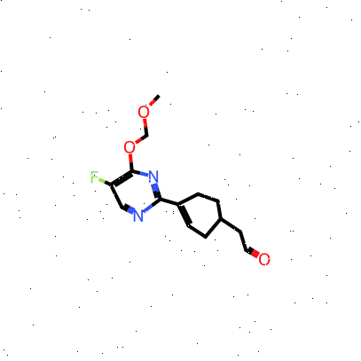 COCOc1nc(C2=CCC(CC=O)CC2)ncc1F